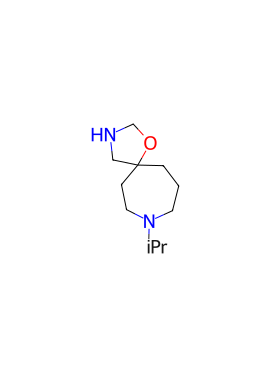 CC(C)N1CCCC2(CC1)CNCO2